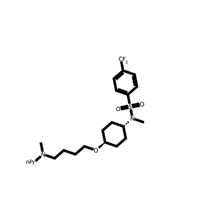 CCCN(C)CCCCO[C@H]1CC[C@H](N(C)S(=O)(=O)c2ccc(C(F)(F)F)cc2)CC1